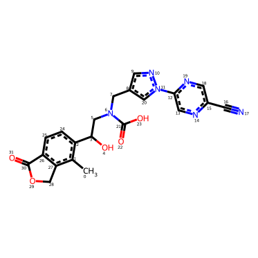 Cc1c(C(O)CN(Cc2cnn(-c3cnc(C#N)cn3)c2)C(=O)O)ccc2c1COC2=O